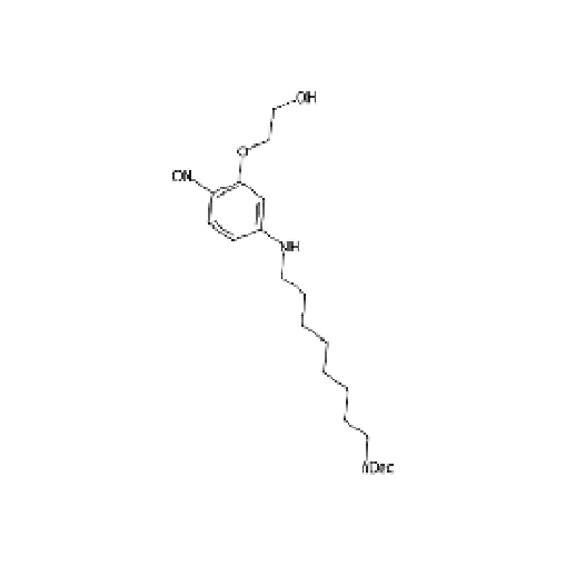 CCCCCCCCCCCCCCCCCCNc1ccc(N=O)c(OCCO)c1